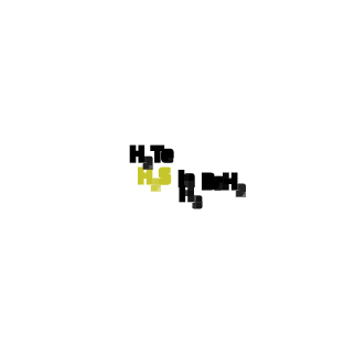 S.[BaH2].[InH3].[TeH2]